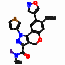 COc1cc2c(cc1-c1cnoc1)-c1c(c(C(=O)N(I)C(C)(C)C)nn1-c1ccsc1)CO2